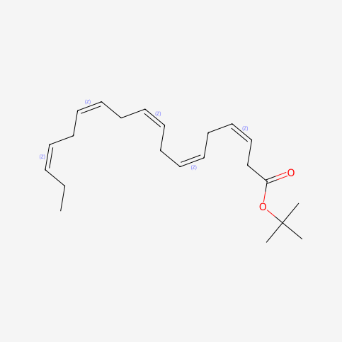 CC/C=C\C/C=C\C/C=C\C/C=C\C/C=C\CC(=O)OC(C)(C)C